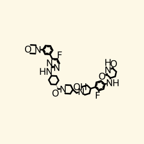 O=C1CCC(Nc2ccc(C3CCN(CC4(O)CCN(C(=O)[C@H]5CC[C@H](Nc6ncc(F)c(-c7cccc(N8CCOCC8)c7)n6)CC5)CC4)CC3)c(F)c2)C(=O)N1